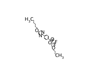 CCCCCCOc1cnc(-c2ccc(C(=O)OC(COCCCC)C(F)(F)F)cc2)nc1